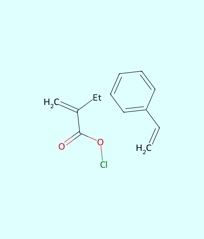 C=C(CC)C(=O)OCl.C=Cc1ccccc1